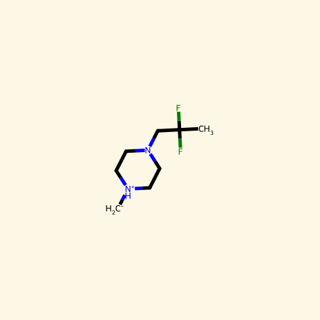 [CH2-][NH+]1CCN(CC(C)(F)F)CC1